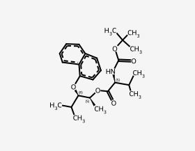 CC(C)[C@H](NC(=O)OC(C)(C)C)C(=O)O[C@@H](C)[C@H](Oc1cccc2ccccc12)C(C)C